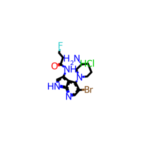 Cl.N[C@@H]1CCCN(c2c(Br)cnc3[nH]cc(NC(=O)CCF)c23)C1